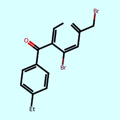 C=C(/C=C(Br)\C(=C/C)C(=O)c1ccc(CC)cc1)CBr